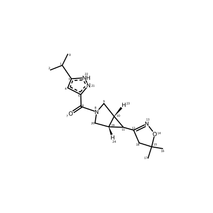 CC(C)c1cc(C(=O)N2C[C@@H]3C(C4=NOC(C)(C)C4)[C@@H]3C2)n[nH]1